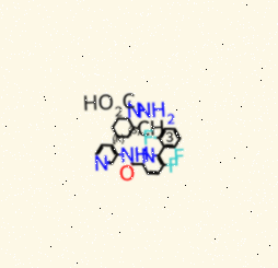 C[C@H]1C[C@H](c2ccncc2NC(=O)c2ccc(F)c(-c3c(F)cccc3F)n2)CCC1N(N)C(=O)O